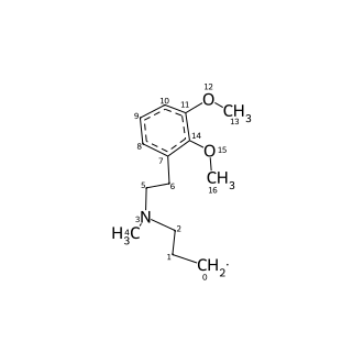 [CH2]CCN(C)CCc1cccc(OC)c1OC